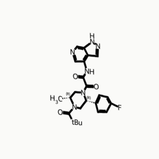 C[C@@H]1CN(C(=O)C(=O)Nc2cncc3[nH]ncc23)[C@H](c2ccc(F)cc2)CN1C(=O)C(C)(C)C